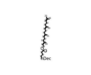 CCCCCCCCCCCCCC(=O)OC/C=C(\C)CC/C=C(\C)CC/C=C(\C)CCC=C(C)C